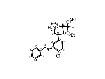 CCOC(C)(OCC)C(C)(CC(CN)c1ccc(Cl)c(OCc2ccccc2)c1)OP=O